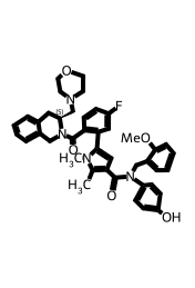 COc1ccccc1CN(C(=O)c1cc(-c2cc(F)ccc2C(=O)N2Cc3ccccc3C[C@H]2CN2CCOCC2)n(C)c1C)c1ccc(O)cc1